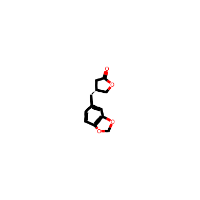 O=C1C[C@@H](Cc2ccc3c(c2)OCO3)CO1